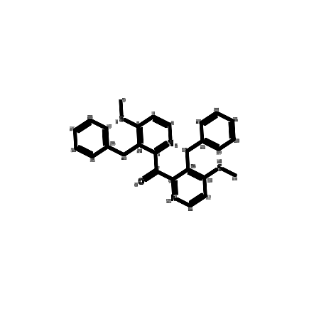 CSc1ccnc(C(=O)c2nccc(SC)c2Cc2ccccc2)c1Cc1ccccc1